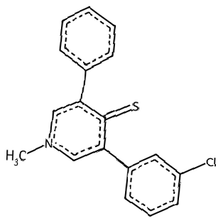 Cn1cc(-c2ccccc2)c(=S)c(-c2cccc(Cl)c2)c1